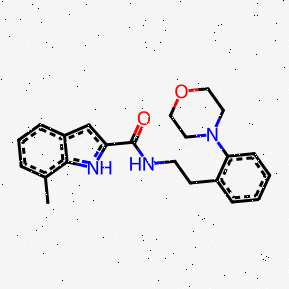 Cc1cccc2cc(C(=O)NCCc3ccccc3N3CCOCC3)[nH]c12